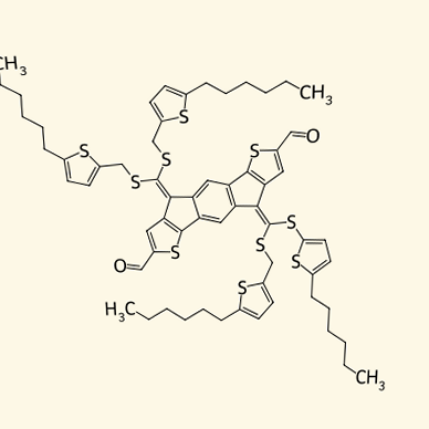 CCCCCCc1ccc(CSC(SCc2ccc(CCCCCC)s2)=C2c3cc4c(cc3-c3sc(C=O)cc32)/C(=C(\SCc2ccc(CCCCCC)s2)Sc2ccc(CCCCCC)s2)c2cc(C=O)sc2-4)s1